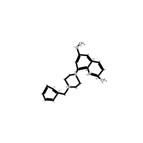 COc1cc(N2CCN(Cc3ccccc3)CC2)c2nc(C)ccc2c1